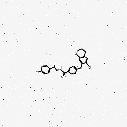 O=C(NCC(F)c1ccc(Cl)cc1)c1ccc(Oc2cc3c(cc2Cl)CCCO3)cc1